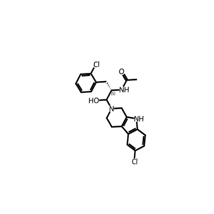 CC(=O)N[C@@H](Cc1ccccc1Cl)C(O)N1CCc2c([nH]c3ccc(Cl)cc23)C1